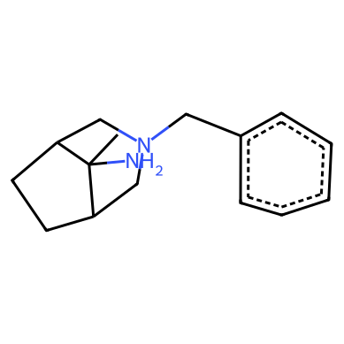 CC1(N)C2CCC1CN(Cc1ccccc1)C2